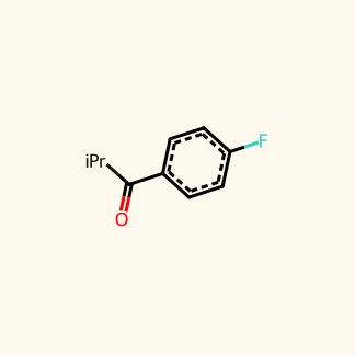 CC(C)C(=O)c1ccc(F)cc1